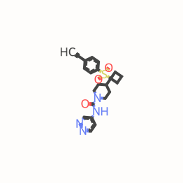 C#Cc1ccc(S(=O)(=O)C2(C3CCN(C(=O)Nc4ccnnc4)CC3)CCC2)cc1